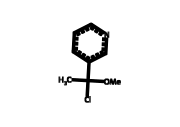 COC(C)(Cl)c1cccnc1